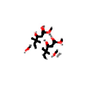 CCC(C)(C)C(=O)CC(=O)OC.CCC(C)(C)C(=O)CC(=O)OC.C[O-].C[O-].[Ti+2]